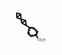 O=C(O)c1ccc(C2C3C2C32C3CC32)cc1